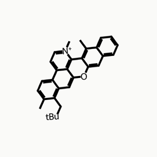 Cc1ccc2c(cc3c4c([n+](C)ccc42)-c2c(cc4ccccc4c2C)O3)c1CC(C)(C)C